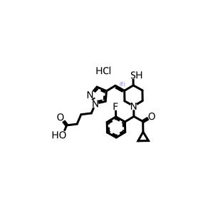 Cl.O=C(O)CCCn1cc(/C=C2\CN(C(C(=O)C3CC3)c3ccccc3F)CCC2S)cn1